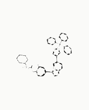 O=C(Nc1ccc(-c2cnc3ccc(-c4cnn(C(c5ccccc5)(c5ccccc5)c5ccccc5)c4)cn23)cc1F)NC1CCCCC1